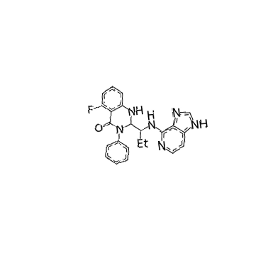 CCC(Nc1nccc2[nH]cnc12)C1Nc2cccc(F)c2C(=O)N1c1ccccc1